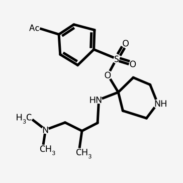 CC(=O)c1ccc(S(=O)(=O)OC2(NCC(C)CN(C)C)CCNCC2)cc1